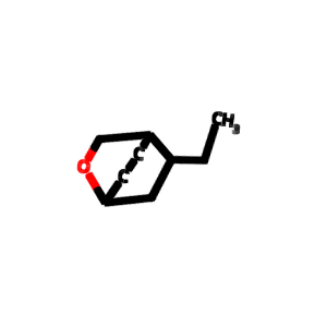 CCC1CC2CCC1CO2